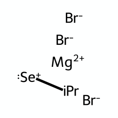 CC(C)[Se+].[Br-].[Br-].[Br-].[Mg+2]